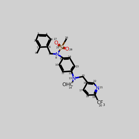 Cc1ccccc1CN(c1ccc(N(C=O)Cc2ccc(C(F)(F)F)nc2)cc1)S(C)(=O)=O